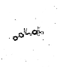 O=c1[nH]c2ccc(SCCN[C@H]3CC[C@H](c4ccccc4)CC3)cc2o1